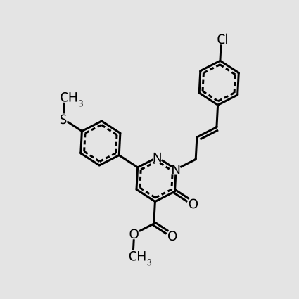 COC(=O)c1cc(-c2ccc(SC)cc2)nn(C/C=C/c2ccc(Cl)cc2)c1=O